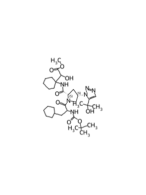 COC(=O)C(O)C1(NC(=O)[C@@H]2C[C@H](n3nncc3C(C)(C)O)CN2C(=O)C(CC2CCCCC2)NC(=O)OC(C)(C)C)CCCCC1